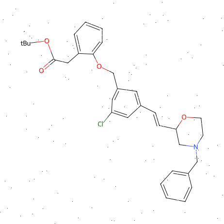 CC(C)(C)OC(=O)Cc1ccccc1OCc1cc(Cl)cc(C=CC2CN(Cc3ccccc3)CCO2)c1